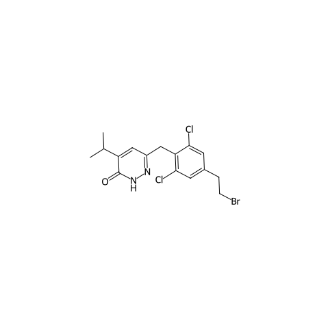 CC(C)c1cc(Cc2c(Cl)cc(CCBr)cc2Cl)n[nH]c1=O